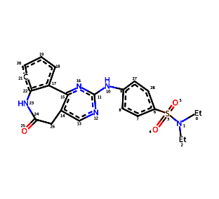 CCN(CC)S(=O)(=O)c1ccc(Nc2ncc3c(n2)-c2ccccc2NC(=O)C3)cc1